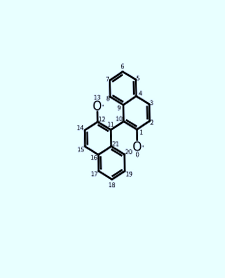 [O]c1ccc2ccccc2c1-c1c([O])ccc2ccccc12